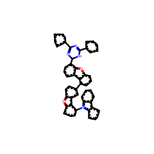 c1ccc(C2=NC(c3cccc4c3oc3cccc(-c5ccc6oc7cccc(-n8c9ccccc9c9ccccc98)c7c6c5)c34)NC(c3ccccc3)=N2)cc1